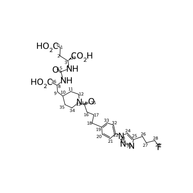 O=C(O)CC[C@H](NC(=O)NC(CC1CCN(C(=O)CCCc2ccc(-n3cc(CCCF)nn3)cc2)CC1)C(=O)O)C(=O)O